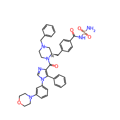 NS(=O)(=O)NC(=O)c1ccc(C[C@@H]2CN(Cc3ccccc3)CCN2C(=O)c2ncn(-c3cccc(N4CCOCC4)c3)c2-c2ccccc2)cc1